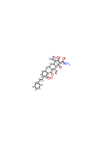 C=CC1=C2C(=O)c3c(ccc(/C=C/c4ccccc4)c3O)CC2CC2C1C(=O)C(C(N)=O)=C(O)[C@H]2N(C)C